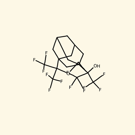 CCOC(C(F)(F)F)(C(F)(F)F)C12CC3CC(CC(C(O)(C(F)(F)F)C(F)(F)F)(C3)C1)C2